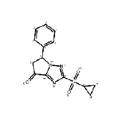 O=C1CC(c2ccccc2)n2nc(S(=O)(=O)C3CC3)nc21